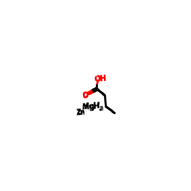 CCCC(=O)O.[MgH2].[Zn]